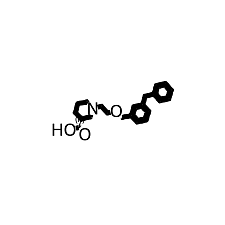 O=C(O)[C@@H]1CCCN(CCOCc2cccc(Cc3ccccc3)c2)C1